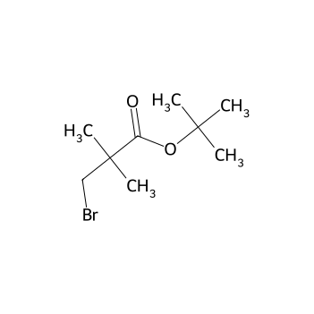 CC(C)(C)OC(=O)C(C)(C)CBr